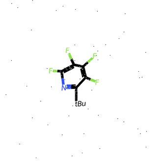 CC(C)(C)c1nc(F)c(F)c(F)c1F